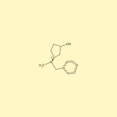 CN(Cc1ccccc1)[C@H]1CCC(O)C1